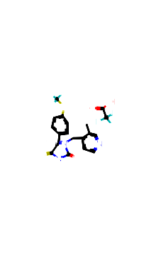 Cc1cnccc1CN1C(=O)NC(=S)[C@@]1(C)c1ccc(SC(F)(F)F)cc1.O=C(O)C(F)(F)F